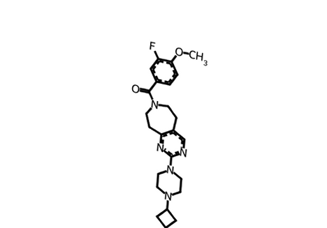 COc1ccc(C(=O)N2CCc3cnc(N4CCN(C5CCC5)CC4)nc3CC2)cc1F